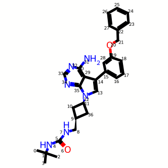 CC(C)(C)NC(=O)NC[C@H]1C[C@@H](n2cc(-c3cccc(OCc4ccccc4)c3)c3c(N)ncnc32)C1